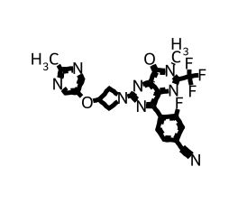 Cc1ncc(OC2CN(c3nc(-c4ccc(C#N)cc4F)c4nc(C(F)(F)F)n(C)c(=O)c4n3)C2)cn1